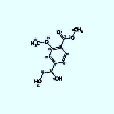 COC(=O)c1ccc(C(O)CO)cc1OC